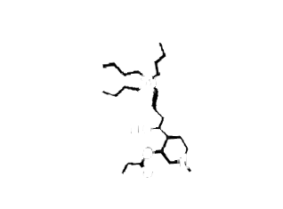 CCC[CH2][Sn]([CH]=CCC(O)C1CCN(C)CC1OC(=O)CC)([CH2]CCC)[CH2]CCC